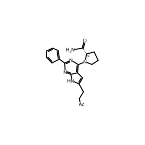 CC(=O)CCc1cc2c(N3CCC[C@H]3C(N)=O)nc(-c3ccccc3)nc2[nH]1